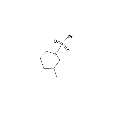 CC1CCCN(S(=O)(=O)C(C)C)C1